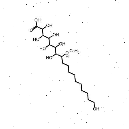 O=C(O)C(O)C(O)C(O)C(O)C(O)C(O)C(O)CCCCCCCCCCO.[CaH2]